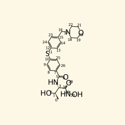 C[C@@H](O)[C@H](NC(=O)c1ccc(Sc2ccc(CN3CCOCC3)cc2)cc1)C(=O)NO